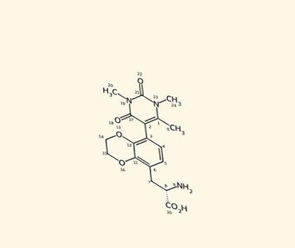 Cc1c(-c2ccc(C[C@H](N)C(=O)O)c3c2OCCO3)c(=O)n(C)c(=O)n1C